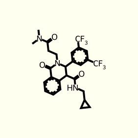 CN(C)C(=O)CCN1C(=O)c2ccccc2C(C(=O)NCC2CC2)C1c1cc(C(F)(F)F)cc(C(F)(F)F)c1